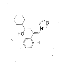 OC(C/C(=C\n1ccnc1)c1ccccc1I)C1CCCCC1